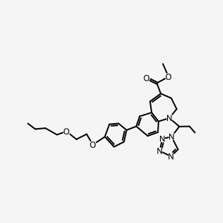 CCCCOCCOc1ccc(-c2ccc3c(c2)C=C(C(=O)OC)CCN3C(CC)n2cnnn2)cc1